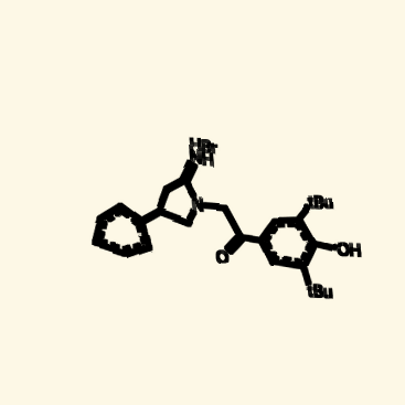 Br.CC(C)(C)c1cc(C(=O)CN2CC(c3ccccc3)CC2=N)cc(C(C)(C)C)c1O